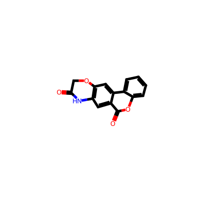 O=C1COc2cc3c(cc2N1)c(=O)oc1ccccc13